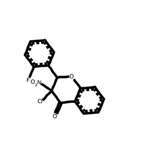 O=C1c2ccccc2OC(c2ccccc2F)C1(Cl)[N+](=O)[O-]